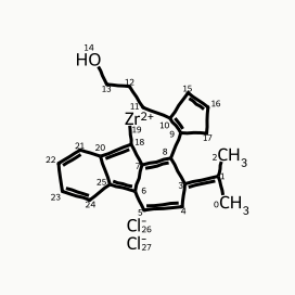 CC(C)=c1ccc2c(c1C1=C(CCCO)C=CC1)[C]([Zr+2])=c1ccccc1=2.[Cl-].[Cl-]